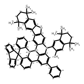 Cc1cc2c(cc1N1c3cc4oc5cc6c(cc5c4cc3B3c4c(cc(-c5ccccc5)cc41)-c1cccc4c1N3c1ccccc1C41c3ccccc3-c3ccccc31)C(C)(C)CCC6(C)C)C(C)(C)CCC2(C)C